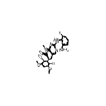 COc1cc(OC)c(Cl)c(-c2cc3cnc(Nc4c(N)cccc4F)nc3n(C)c2=O)c1Cl